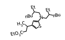 CCCCC(CC)CN(CC(CC)CCCC)c1cc(C(C)CC(=O)OCC)cs1